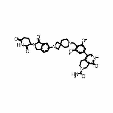 CNC(=O)N1CCc2c(-c3cc(OC)c(CN4CCC5(CC4)CN(c4ccc6c(c4)C(=O)N(C4CCC(=O)NC4=O)C6)C5)c(OC)c3)cn(C)c(=O)c2C1